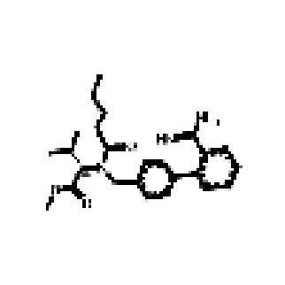 CCCCC(=O)N(Cc1ccc(-c2ccccc2C(=N)N)cc1)[C@H](C(=O)OC)C(C)C